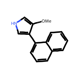 COc1c[nH][c]c1-c1cccc2ccccc12